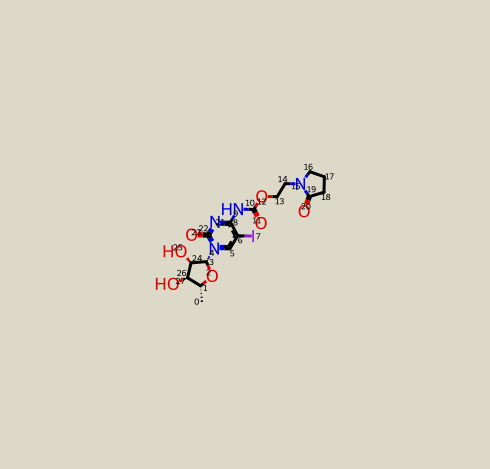 C[C@H]1O[C@@H](n2cc(I)c(NC(=O)OCCN3CCCC3=O)nc2=O)[C@H](O)[C@@H]1O